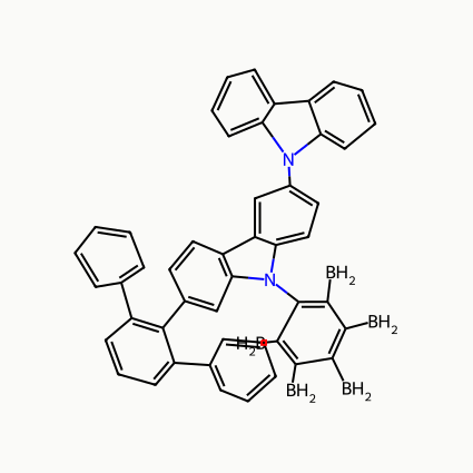 Bc1c(B)c(B)c(-n2c3ccc(-n4c5ccccc5c5ccccc54)cc3c3ccc(-c4c(-c5ccccc5)cccc4-c4ccccc4)cc32)c(B)c1B